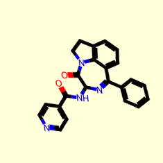 O=C(NC1N=C(c2ccccc2)c2cccc3c2N(CC3)C1=O)c1ccncc1